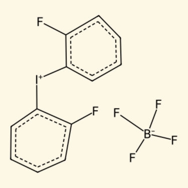 F[B-](F)(F)F.Fc1ccccc1[I+]c1ccccc1F